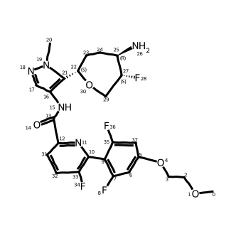 COCCOc1cc(F)c(-c2nc(C(=O)Nc3cnn(C)c3[C@@H]3CC[C@@H](N)[C@H](F)CO3)ccc2F)c(F)c1